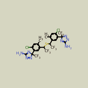 Cc1cc(Cl)c(C2(C(F)(F)F)N=NC(N)=N2)cc1C(SC(c1cc(C2(C(F)(F)F)N=NC(N)=N2)c(Cl)cc1C)C(F)(F)F)C(F)(F)F